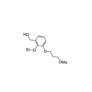 CCOc1c(CO)cccc1OCCCOC